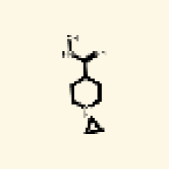 C1CC1.N=C(NO)C1CCNCC1